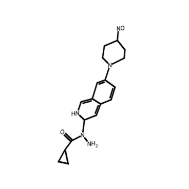 NN(C(=O)C1CC1)C1C=c2ccc(N3CCC(N=O)CC3)cc2=CN1